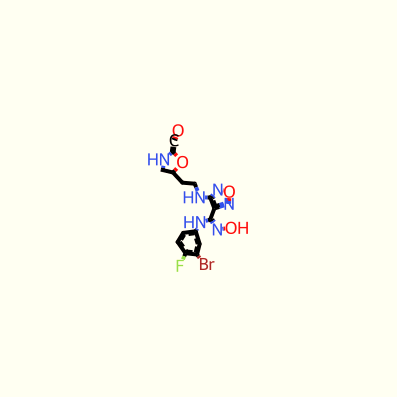 O=C=C1NCC(CCNc2nonc2C(=NO)Nc2ccc(F)c(Br)c2)O1